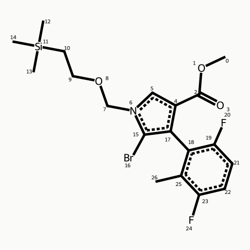 COC(=O)c1cn(COCC[Si](C)(C)C)c(Br)c1-c1c(F)ccc(F)c1C